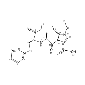 CCC(=O)[C@H](CCc1ccccc1)N[C@@H](C)C(=O)n1c(C(=O)O)cn(CC)c1=O